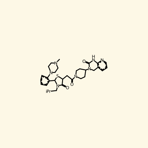 CC(C)CN1C(=O)C(CC(=O)N2CCC(N3Cc4cccnc4NC3=O)CC2)SC1c1ccccc1N1CCN(C)CC1